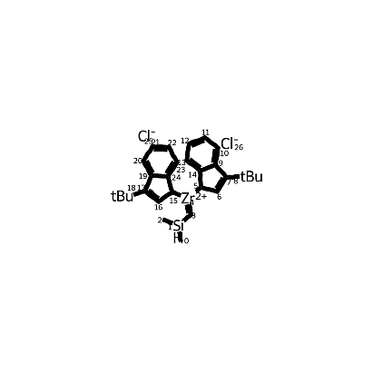 C[SiH](C)[CH]=[Zr+2]([CH]1C=C(C(C)(C)C)c2ccccc21)[CH]1C=C(C(C)(C)C)c2ccccc21.[Cl-].[Cl-]